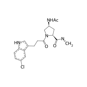 C=NC(=O)[C@@H]1C[C@H](NC(C)=O)CN1C(=O)CCc1c[nH]c2ccc(Cl)cc12